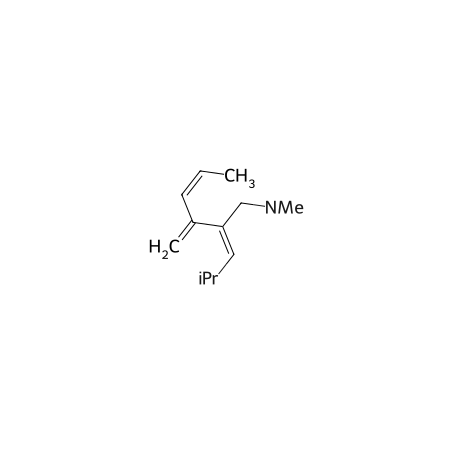 C=C(/C=C\C)/C(=C\C(C)C)CNC